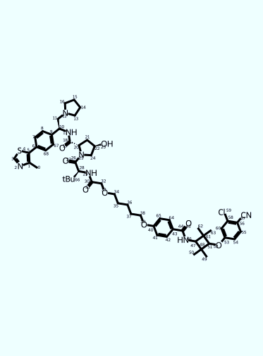 Cc1ncsc1-c1ccc([C@@H](CN2CCCC2)NC(=O)[C@@H]2C[C@@H](O)CN2C(=O)[C@@H](NC(=O)COCCCCCOc2ccc(C(=O)NC3C(C)(C)C(Oc4ccc(C#N)c(Cl)c4)C3(C)C)cc2)C(C)(C)C)cc1